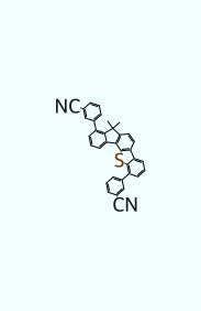 CC1(C)c2ccc3c(sc4c(-c5cccc(C#N)c5)cccc43)c2-c2cccc(-c3cccc(C#N)c3)c21